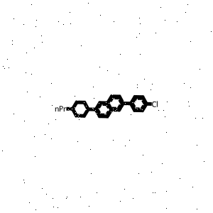 CCCC1CCC(c2ccc3cc(-c4ccc(Cl)cc4)ccc3c2)CC1